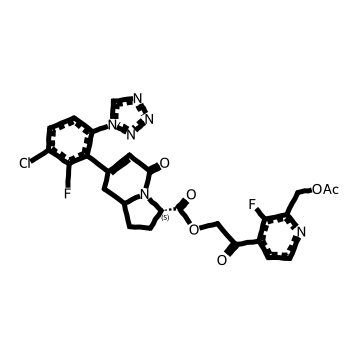 CC(=O)OCc1nccc(C(=O)COC(=O)[C@@H]2CCC3CC(c4c(-n5cnnn5)ccc(Cl)c4F)=CC(=O)N32)c1F